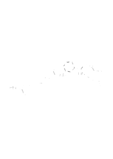 CNC(=O)CCCCCCC(=O)Nc1cccc(C(=O)N[C@@H](CC(C)C)C(=O)OC)c1